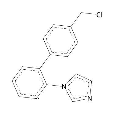 ClCc1ccc(-c2ccc[c]c2-n2ccnc2)cc1